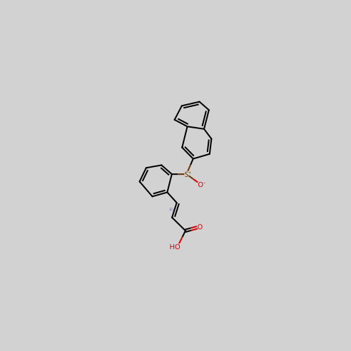 O=C(O)/C=C/c1ccccc1[S+]([O-])c1ccc2ccccc2c1